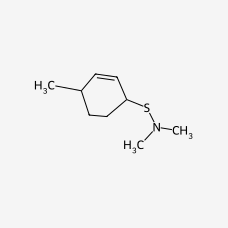 CC1C=CC(SN(C)C)CC1